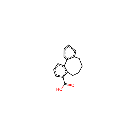 O=C(O)c1cccc2c1CCCCc1ccccc1-2